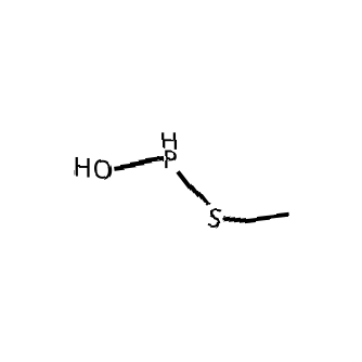 CSPO